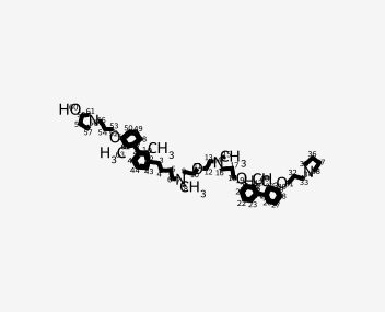 Cc1c(CCCCN(C)CCOCCN(C)CCCOc2cccc(-c3cccc(OCCCN4CCCC4)c3C)c2C)cccc1-c1cccc(OCCCN2CCC(O)C2)c1C